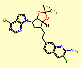 CC1(C)OC2[C@H](O1)C(CCc1ccc3cc(Cl)c(N)nc3c1)C[C@H]2n1ccc2c(Cl)ncnc21